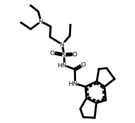 CCN(CC)CCN(CC)S(=O)(=O)NC(=O)Nc1c2c(cc3c1CCC3)CCC2